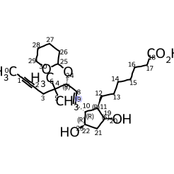 CC#CCC(C)(C)[C@@H](/C=C/[C@@H]1[C@@H](CCCCCCC(=O)O)[C@@H](O)C[C@H]1O)OC1CCCCO1